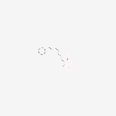 CCOC(=O)C(=CC=CC(C)=CC=Cc1ccccc1)C(=O)O